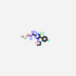 CONC(=N)c1nc(Cl)c(-c2c(F)cc(F)cc2F)c(N2CCCO2)n1